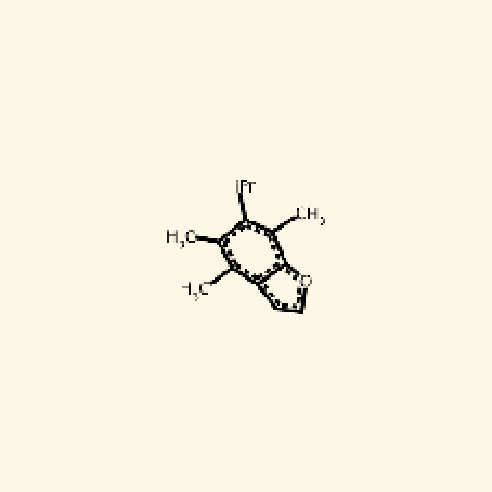 Cc1c(C(C)C)c(C)c2occc2c1C